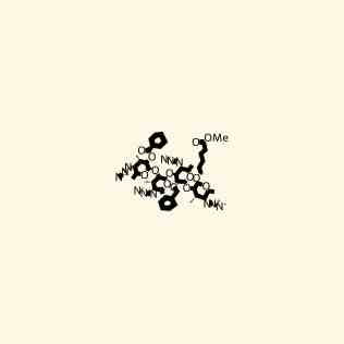 COC(=O)CCCCCO[C@H]1OC(C)[C@@H](N=[N+]=[N-])[C@H](C)C1O[C@H]1OC(C)[C@@H](N=[N+]=[N-])[C@H](O[C@H]2OC(C)[C@@H](N=[N+]=[N-])[C@H](C)C2O[C@H]2OC(C)[C@@H](N=[N+]=[N-])[C@H](C)C2OC(=O)c2ccccc2)C1OCc1ccccc1